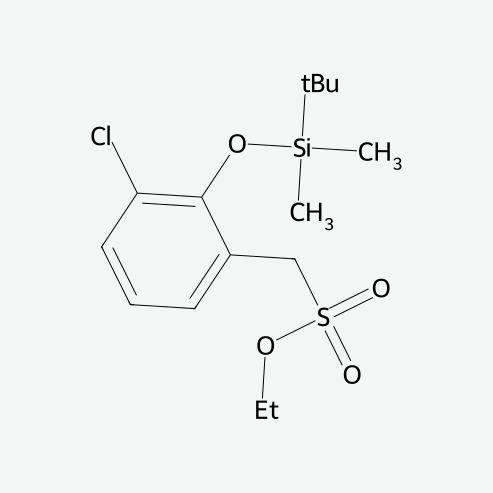 CCOS(=O)(=O)Cc1cccc(Cl)c1O[Si](C)(C)C(C)(C)C